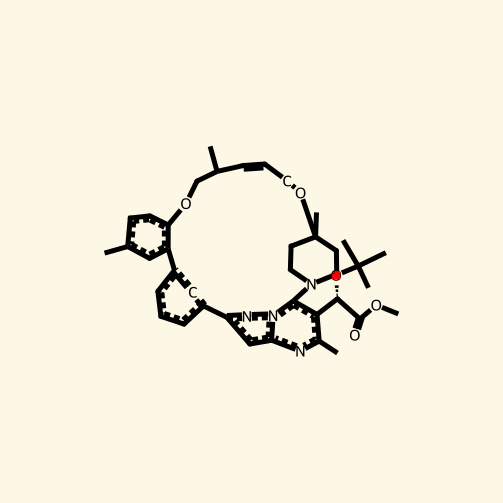 COC(=O)[C@@H](OC(C)(C)C)c1c(C)nc2cc3nn2c1N1CCC(C)(CC1)OCC=CC(C)COc1ccc(C)cc1-c1cccc-3c1